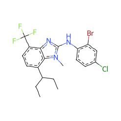 CCC(CC)c1ccc(C(F)(F)F)c2nc(Nc3ccc(Cl)cc3Br)n(C)c12